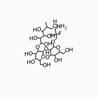 CC(CO)C(O)C(O)C(O)C(O)OC1C(OC2C(OCC(F)(F)CN)OC(CO)C(O)C2O)OC(CO)C(O)C1O